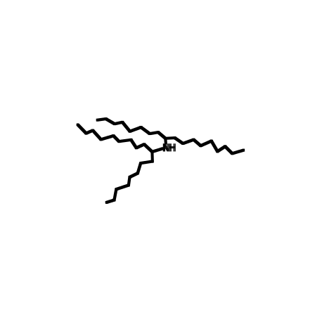 CCCCCCCCCC(CCCCCCCC)NC(CCCCCCCC)CCCCCCCCC